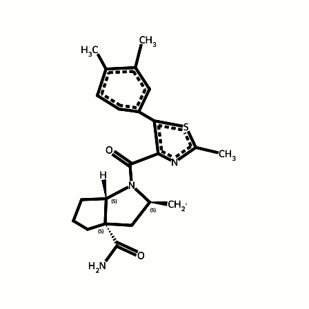 [CH2][C@H]1C[C@@]2(C(N)=O)CCC[C@@H]2N1C(=O)c1nc(C)sc1-c1ccc(C)c(C)c1